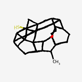 CC1C2C3CC4C5C6C7CCC1C18CCCC71C6C5C41C4(S)CCC4C31C28